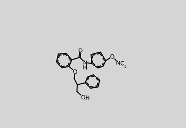 O=C(Nc1ccc(O[N+](=O)[O-])cc1)c1ccccc1OCC(CO)c1ccccc1